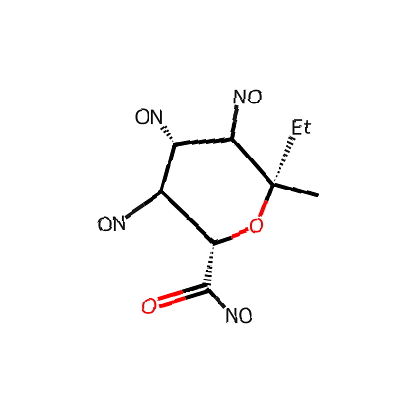 CC[C@]1(C)O[C@H](C(=O)N=O)C(N=O)[C@H](N=O)C1N=O